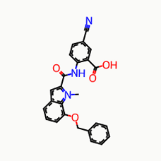 Cn1c(C(=O)Nc2ccc(C#N)cc2C(=O)O)cc2cccc(OCc3ccccc3)c21